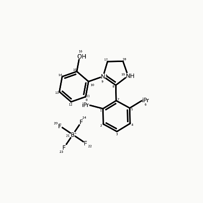 CC(C)c1cccc(C(C)C)c1C1=[N+](c2ccccc2O)CCN1.F[B-](F)(F)F